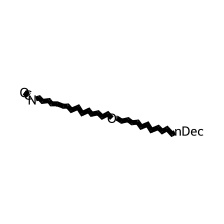 CCCCCCCCCCCCCCCCCCCCCCOCCCCCCCCCCCCCCCN=C=O